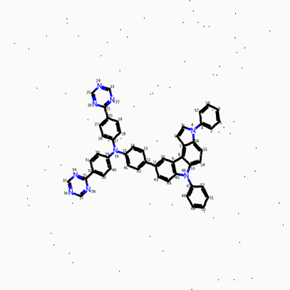 c1ccc(-n2ccc3c4c5cc(-c6ccc(N(c7ccc(-c8ncncn8)cc7)c7ccc(-c8ncncn8)cc7)cc6)ccc5n(-c5ccccc5)c4ccc32)cc1